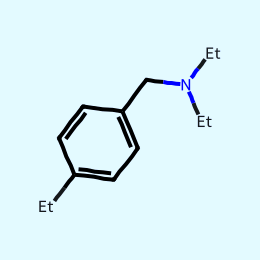 CCc1ccc(CN(CC)CC)cc1